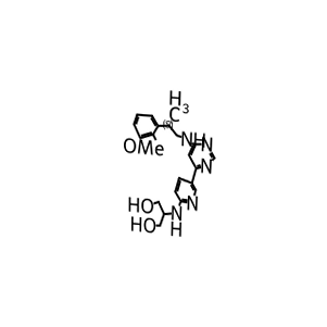 COc1ccccc1[C@H](C)CNc1cc(-c2ccc(NC(CO)CO)nc2)ncn1